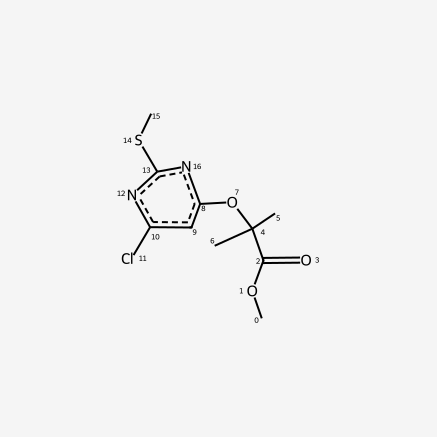 COC(=O)C(C)(C)Oc1cc(Cl)nc(SC)n1